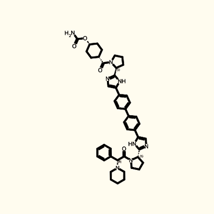 NC(=O)O[C@H]1CC[C@@H](C(=O)N2CCC[C@H]2c2ncc(-c3ccc(-c4ccc(-c5cnc([C@@H]6CCCN6C(=O)[C@@H](c6ccccc6)N6CCCCC6)[nH]5)cc4)cc3)[nH]2)CC1